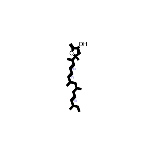 C=C1OC(C)(C(C)/C=C/C=C/C(C)CC(C)C/C=C/C(C)CC)C=C1O